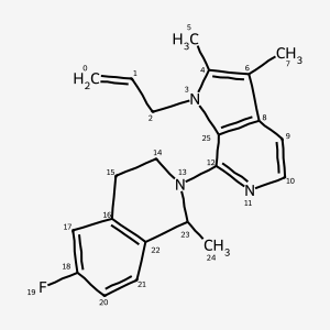 C=CCn1c(C)c(C)c2ccnc(N3CCc4cc(F)ccc4C3C)c21